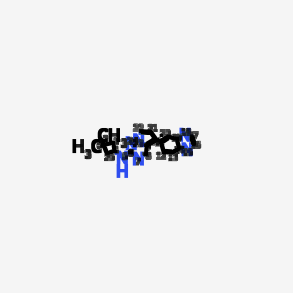 CC1(C)CC(Nc2ncc3c(-c4ccc5nccnc5c4)ccn3n2)C1